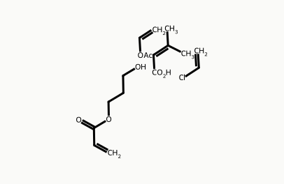 C=CC(=O)OCCCO.C=CCl.C=COC(C)=O.CC(C)=CC(=O)O